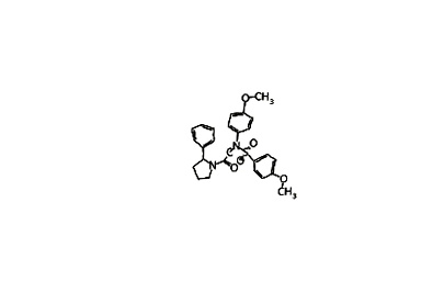 COc1ccc(N(CC(=O)N2CCCC2c2ccccc2)S(=O)(=O)c2ccc(OC)cc2)cc1